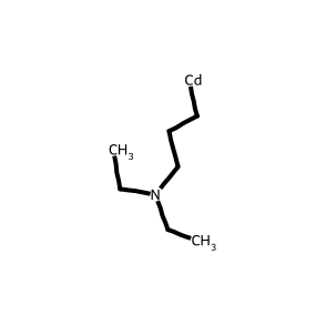 CCN(CC)CC[CH2][Cd]